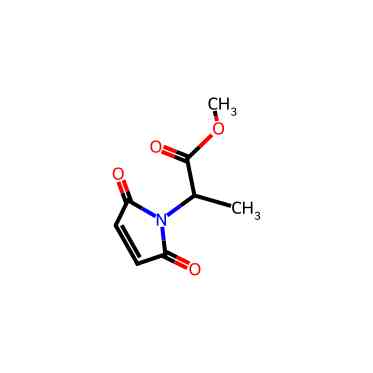 COC(=O)C(C)N1C(=O)C=CC1=O